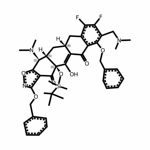 CN(C)Cc1c(F)c(F)c2c(c1OCc1ccccc1)C(=O)C1=C(O)[C@]3(O[Si](C)(C)C(C)(C)C)C(=O)c4c(OCc5ccccc5)noc4[C@@H](N(C)C)[C@@H]3C[C@@H]1C2